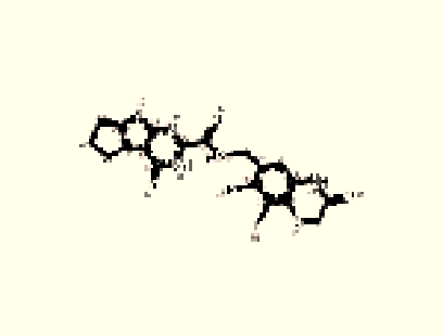 O=C1COc2c(cc(CNC(=O)c3nc4sc5c(c4c(=O)[nH]3)CCC5)c(F)c2F)N1